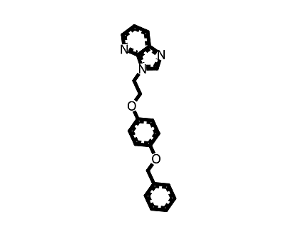 c1ccc(COc2ccc(OCCn3cnc4cccnc43)cc2)cc1